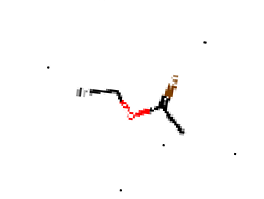 CC(=S)OCC(C)C